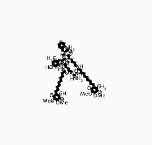 COC1=C(OC)C(=O)C(CCCCCCCCCC(=O)NCCCC[C@H](NC(=O)[C@H](Cc2c(C)cc(O)cc2C)NC(=O)[C@@H](CCCNC(=N)N)NC(=O)CCCCCCCCCC2=C(C)C(=O)C(OC)=C(OC)C2=O)C(=O)N[C@@H](Cc2ccccc2)C(N)=O)=C(C)C1=O